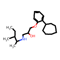 CCC(C)C(C)NCC(O)COc1ccccc1C1CCCCCC1